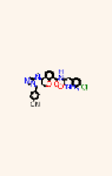 CN(c1cncn1Cc1ccc(C#N)cc1)C1CCOc2c(C(=O)N[C@@H](Cc3ccc(Cl)cc3)C(N)=O)cccc21